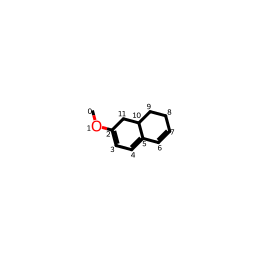 COC1=CC=C2C=CCCC2C1